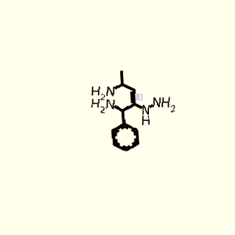 CC(N)/C=C(/NN)C(N)c1ccccc1